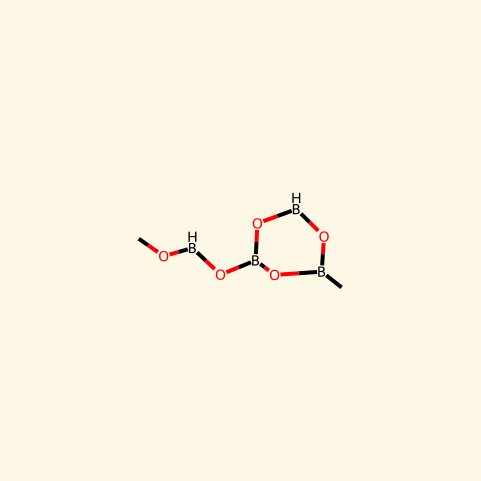 COBOB1OBOB(C)O1